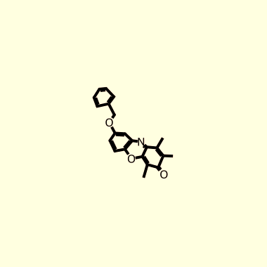 Cc1c2nc3cc(OCc4ccccc4)ccc3oc-2c(C)c(=O)c1C